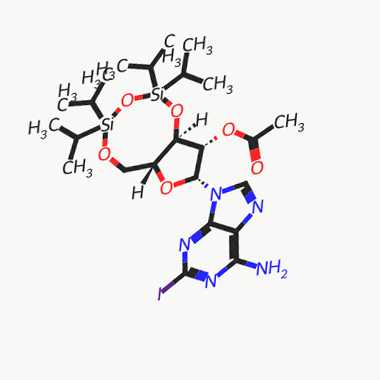 CC(=O)O[C@H]1[C@@H]2O[Si](C(C)C)(C(C)C)O[Si](C(C)C)(C(C)C)OC[C@H]2O[C@H]1n1cnc2c(N)nc(I)nc21